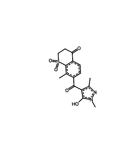 Cc1nn(C)c(O)c1C(=O)c1ccc2c(c1C)S(=O)(=O)CCC2=O